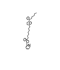 CCCCCC(=O)C1CCC(CCCCCCCC(=O)OCc2ccccn2)O1